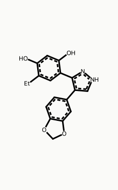 CCc1cc(-c2n[nH]cc2-c2ccc3c(c2)OCO3)c(O)cc1O